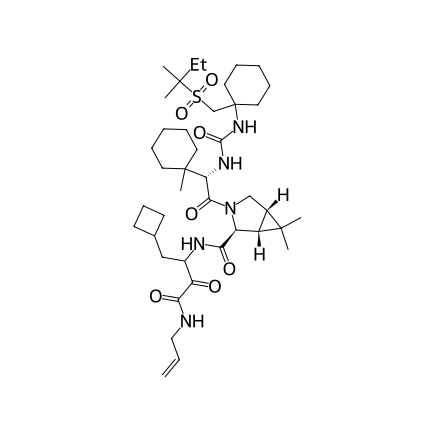 C=CCNC(=O)C(=O)C(CC1CCC1)NC(=O)[C@@H]1[C@@H]2[C@H](CN1C(=O)[C@@H](NC(=O)NC1(CS(=O)(=O)C(C)(C)CC)CCCCC1)C1(C)CCCCC1)C2(C)C